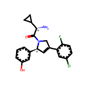 N[C@H](C(=O)N1CC(c2cc(Cl)ccc2F)=C[C@H]1c1cccc(O)c1)C1CC1